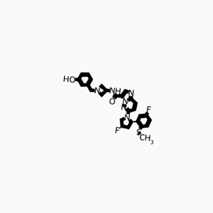 CSc1ccc(F)cc1[C@H]1C[C@H](F)CN1c1ccc2ncc(C(=O)NC3CN(Cc4cccc(O)c4)C3)n2n1